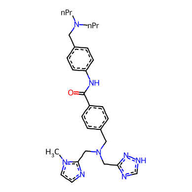 CCCN(CCC)Cc1ccc(NC(=O)c2ccc(CN(Cc3nc[nH]n3)Cc3nccn3C)cc2)cc1